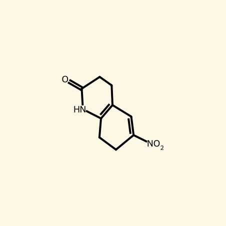 O=C1CCC2=C(CCC([N+](=O)[O-])=C2)N1